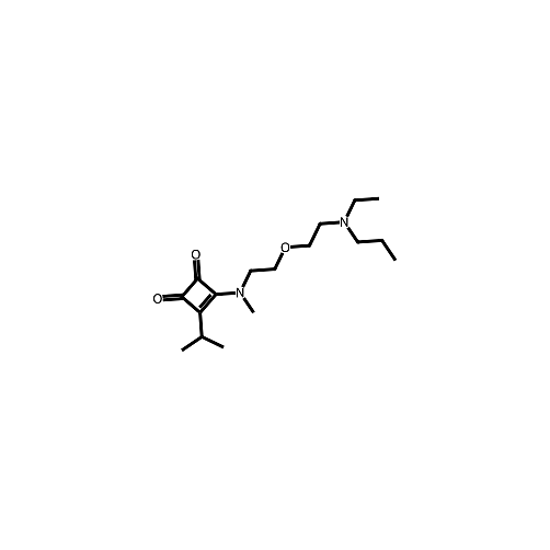 CCCN(CC)CCOCCN(C)c1c(C(C)C)c(=O)c1=O